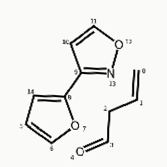 C=CCC=O.c1coc(-c2ccon2)c1